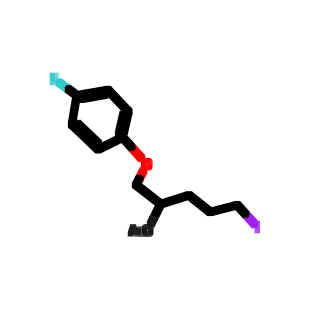 CC(=O)OC(CCCI)COc1ccc(F)cc1